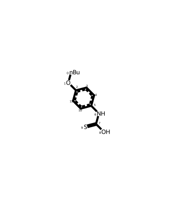 CCCCOc1ccc(NC(O)=S)cc1